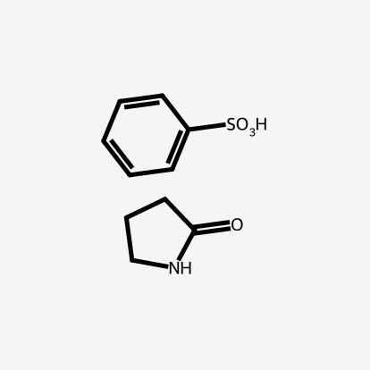 O=C1CCCN1.O=S(=O)(O)c1ccccc1